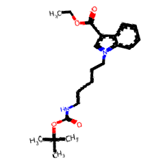 CCOC(=O)c1cn(CCCCCNC(=O)OC(C)(C)C)c2ccccc12